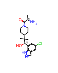 C[C@@H](N)C(=O)N1CCC(C(C)(C)[C@H](O)c2cc(Cl)cc3cn[nH]c23)CC1